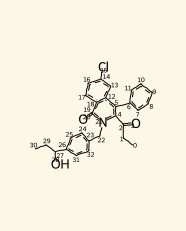 CCC(=O)c1c(-c2ccccc2)c2cc(Cl)ccc2c(=O)n1Cc1ccc(C(O)CC)cc1